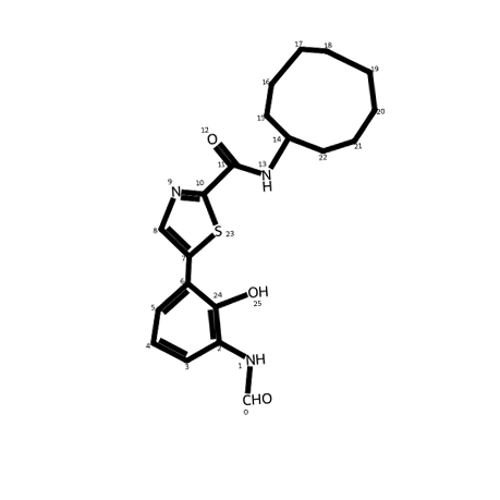 O=CNc1cccc(-c2cnc(C(=O)NC3CCCCCCCC3)s2)c1O